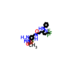 CS(=O)(=O)Nc1c(N)cc(CNC(=O)/C=C/c2ccc(C(F)(F)F)nc2Nc2ccccc2)cc1F